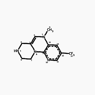 CN1C=C2CNCCN2c2ncc(C(F)(F)F)cc21